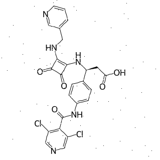 O=C(O)C[C@H](Nc1c(NCc2cccnc2)c(=O)c1=O)c1ccc(NC(=O)c2c(Cl)cncc2Cl)cc1